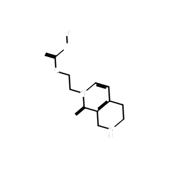 CC(C)(C)OC(=O)NCCn1ccc2c(c1=O)CNCC2